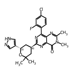 Cc1nc2c(-c3ccc(Cl)cc3F)nc([C@@H]3C[C@@H](c4cn[nH]c4)OC(C)(C)C3)nc2c(=O)n1C